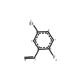 C=[C]c1cc(CC)ccc1F